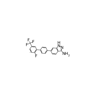 Nc1n[nH]c2cc(-c3ccc(-c4cc(C(F)(F)F)c[c]c4F)cc3)ccc12